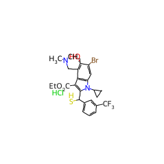 CCOC(=O)c1c(C(S)c2cccc(C(F)(F)F)c2)n(C2CC2)c2cc(Br)c(O)c(CN(C)C)c12.Cl